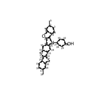 Cc1ccc2c(c1)oc1c3cc4sc5c6ccc(C)cc6sc5c4cc3n(-c3ccc(O)cc3)c21